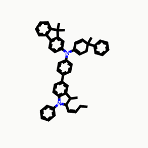 CC/C=C\C1C(C)c2cc(-c3ccc(N(C4=CCC(C)(c5ccccc5)C=C4)c4ccc5c(c4)C(C)(C)c4ccccc4-5)cc3)ccc2N1c1ccccc1